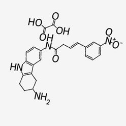 NC1CCc2[nH]c3ccc(NC(=O)C/C=C/c4cccc([N+](=O)[O-])c4)cc3c2C1.O=C(O)C(=O)O